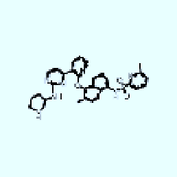 Cc1cccc(S(=O)(=O)Nc2cccc3c(Oc4ncccc4-c4ccnc(NC5CCCNC5)n4)c(C)ccc23)n1